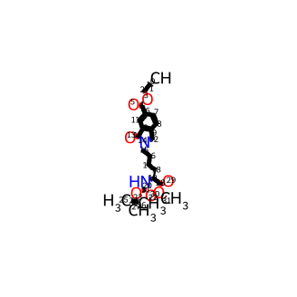 C#CCOC(=O)c1ccc2c(c1)C(=O)N(CCCC[C@H](NC(=O)OC(C)(C)C)C(=O)OC)C2